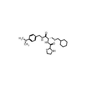 CN(C)c1ccc(CNC(=O)[C@H](CSCC2CCCCC2)NC(=O)C2NCCS2)cc1